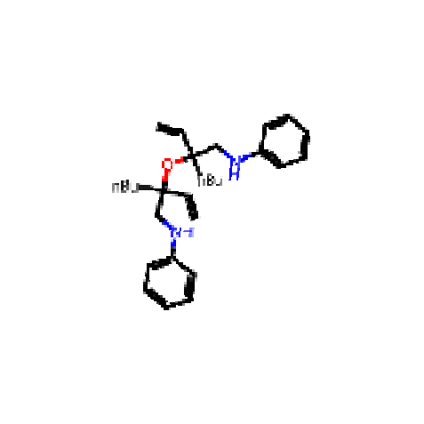 C=CC(CCCC)(CNc1ccccc1)OC(C=C)(CCCC)CNc1ccccc1